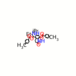 CCC(NC(C)C)C(OC(=O)c1ccc(C)cc1)c1ccc(OC(=O)c2ccc(C)cc2)c2c1CCC(=O)N2